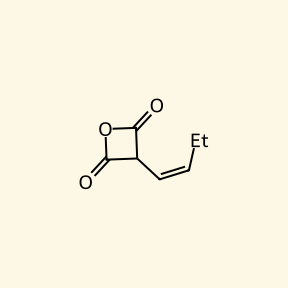 CC/C=C\C1C(=O)OC1=O